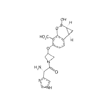 N[C@H](C(=O)N1CC(Oc2ccc3c(c2C(=O)O)OB(O)[C@H]2C[C@@H]32)C1)c1c[nH]cn1